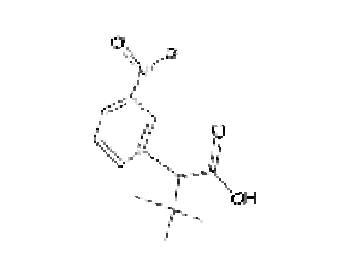 CC(C)(C)C(C(=O)O)c1cccc([N+](=O)[O-])c1